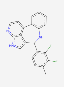 Cc1ccc(C2Nc3ccccc3-c3ccnc4[nH]cc2c34)c(F)c1F